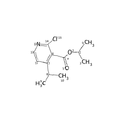 CC(C)OC(=O)c1c(C(C)C)ccnc1Cl